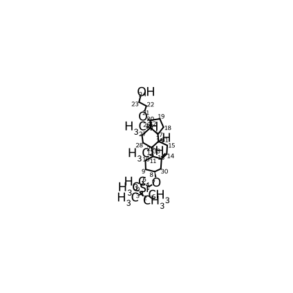 CC(C)(C)[Si](C)(C)O[C@H]1CC[C@@]2(C)C(=CC[C@H]3[C@@H]4CC[C@H](OCCO)[C@@]4(C)CC[C@@H]32)C1